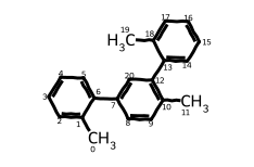 Cc1ccccc1-c1ccc(C)c(-c2ccccc2C)c1